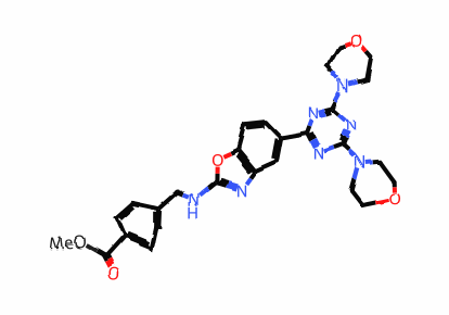 COC(=O)c1ccc(CNc2nc3cc(-c4nc(N5CCOCC5)nc(N5CCOCC5)n4)ccc3o2)cc1